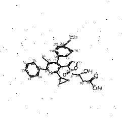 C=C(c1c(C2CC2)nc(-c2ccccc2)c(C)c1-c1ccc(F)cc1)P(=O)(C[C@@H](O)CC(=O)O)OC